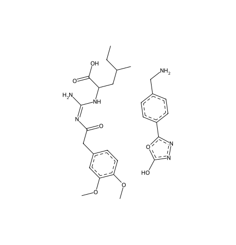 CCC(C)CC(NC(N)=NC(=O)Cc1ccc(OC)c(OC)c1)C(=O)O.NCc1ccc(-c2nnc(O)o2)cc1